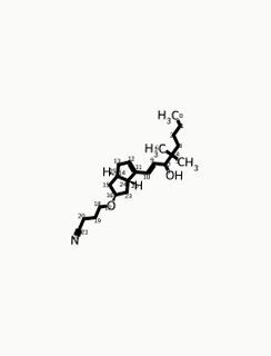 CCCCC(C)(C)C(O)C=CC1=CC[C@@H]2C[C@H](OCCCC#N)C[C@@H]12